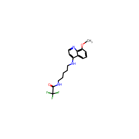 COc1cccc2c(NCCCCCNC(=O)C(F)(F)F)ccnc12